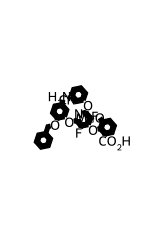 COc1cccc(C(=O)O)c1Oc1c(F)c(Oc2cccc(N)c2)nc(Oc2cc(C#N)ccc2OCc2ccccc2)c1F